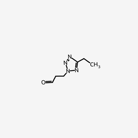 CCc1nnn(CCC=O)n1